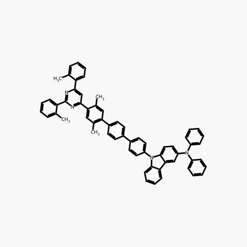 Cc1cc(-c2cc(-c3ccccc3C)nc(-c3ccccc3C)n2)c(C)cc1-c1ccc(-c2ccc(-n3c4ccccc4c4cc(N(c5ccccc5)c5ccccc5)ccc43)cc2)cc1